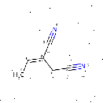 C/C=C(/C#N)CC#N